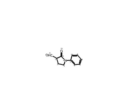 O=CC1CCN(c2ccccc2)C1=O